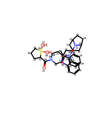 Cc1nc2ccccc2n1C1CC2CCC(C1)N2CCC1(c2ccccc2)CCN(C(=O)C2CCCS2(O)O)CC1